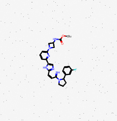 CC(C)(C)OC(=O)NC1CN(c2cccc(-c3cnc(/C=C\C(=N)N4CCCC4c4cccc(F)c4)[nH]3)n2)C1